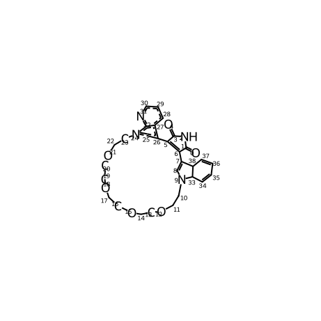 O=C1NC(=O)C2=C1C1=CN(CCOCCOCCOCCOCCn3cc2c2cccnc23)C2C=CC=CC12